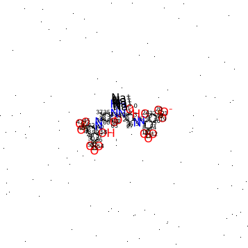 COc1cc(N=Nc2cc(S(=O)(=O)[O-])cc3cc(S(=O)(=O)[O-])cc(O)c23)c(C)cc1NC(=O)Nc1cc(C)c(N=Nc2cc(S(=O)(=O)[O-])cc3cc(S(=O)(=O)[O-])cc(O)c23)cc1OC.[Na+].[Na+].[Na+].[Na+]